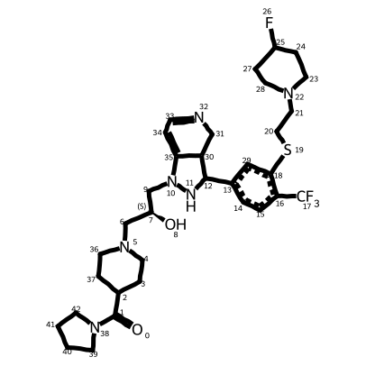 O=C(C1CCN(C[C@H](O)CN2NC(c3ccc(C(F)(F)F)c(SCCN4CCC(F)CC4)c3)C3CN=CC=C32)CC1)N1CCCC1